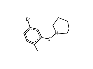 Cc1ccc(Br)cc1SN1CCCCC1